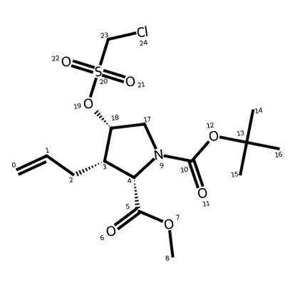 C=CC[C@H]1[C@@H](C(=O)OC)N(C(=O)OC(C)(C)C)C[C@H]1OS(=O)(=O)CCl